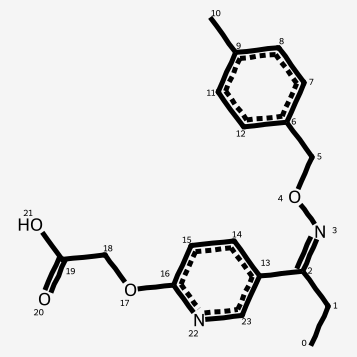 CCC(=NOCc1ccc(C)cc1)c1ccc(OCC(=O)O)nc1